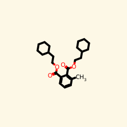 Cc1cccc(C(=O)OCCC2CCCCC2)c1C(=O)OCCC1CCCCC1